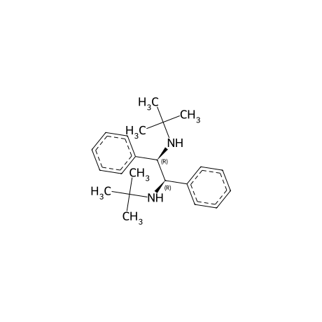 CC(C)(C)N[C@H](c1ccccc1)[C@H](NC(C)(C)C)c1ccccc1